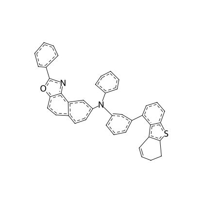 C1=Cc2c(sc3cccc(-c4cccc(N(c5ccccc5)c5ccc6ccc7oc(-c8ccccc8)nc7c6c5)c4)c23)CC1